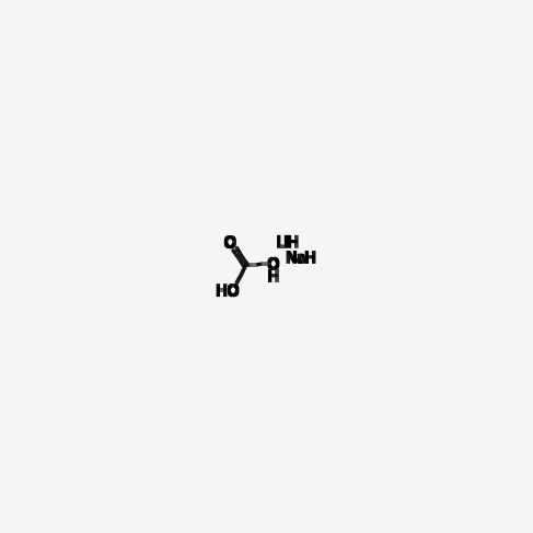 O=C(O)O.[LiH].[NaH]